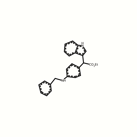 CCOC(=O)C(c1ccc(NCc2ccccc2)cc1)c1c[nH]c2ccccc12